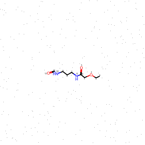 CCOCC(=O)NCCCNC=O